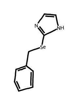 c1ccc(C[Se]c2ncc[nH]2)cc1